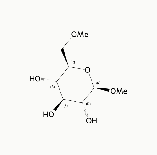 COC[C@H]1O[C@@H](OC)[C@H](O)[C@@H](O)[C@@H]1O